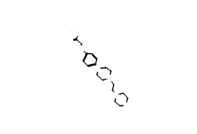 COC(=O)COc1ccc(N2CCN(CCN3CCNCC3)CC2)cc1.Cl.Cl